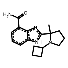 CC1(c2nc3c(C(N)=O)cccc3[nH]2)CCCN1C1CCC1